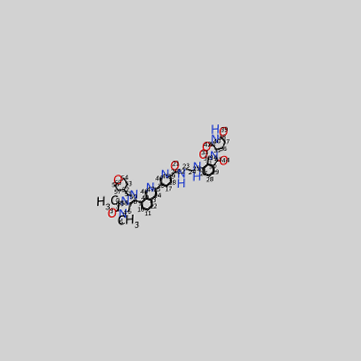 C[C@@H]1C(=O)N(C)Cc2c(-c3cccc4cc(-c5ccc(C(=O)NCCNc6cccc7c6C(=O)N(C6CCC(=O)NC6=O)C7=O)nc5)ncc34)nc(C3CCOCC3)n21